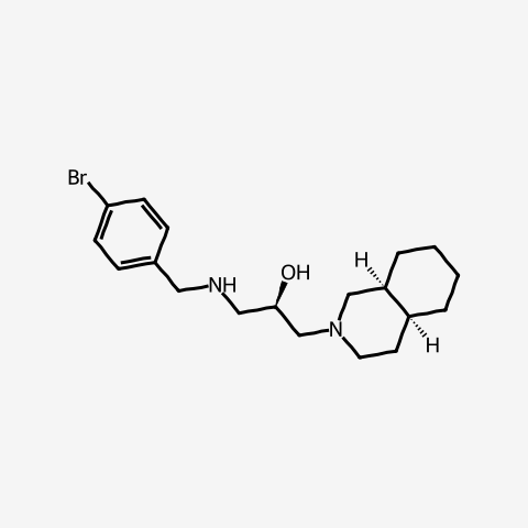 O[C@H](CNCc1ccc(Br)cc1)CN1CC[C@@H]2CCCC[C@@H]2C1